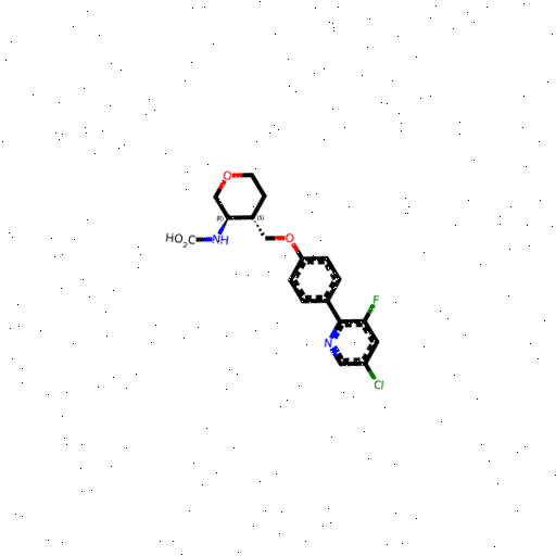 O=C(O)N[C@H]1COCC[C@@H]1COc1ccc(-c2ncc(Cl)cc2F)cc1